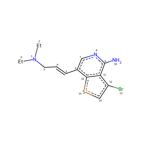 CCN(CC)C/C=C/c1cnc(N)c2c(Br)csc12